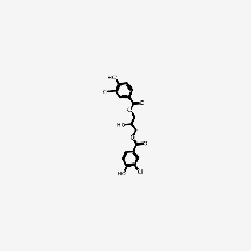 O=C(OCC(O)COC(=O)c1ccc(O)c(Cl)c1)c1ccc(O)c(Cl)c1